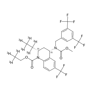 [2H]C([2H])([2H])COC(=O)N1c2ccc(C(F)(F)F)cc2[C@@H](N(Cc2cc(C(F)(F)F)cc(C(F)(F)F)c2)C(=O)OC)C[C@H]1C([2H])([2H])C([2H])([2H])[2H]